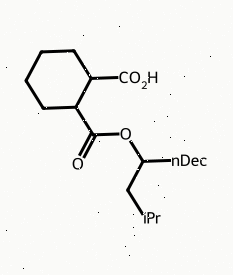 CCCCCCCCCCC(CC(C)C)OC(=O)C1CCCCC1C(=O)O